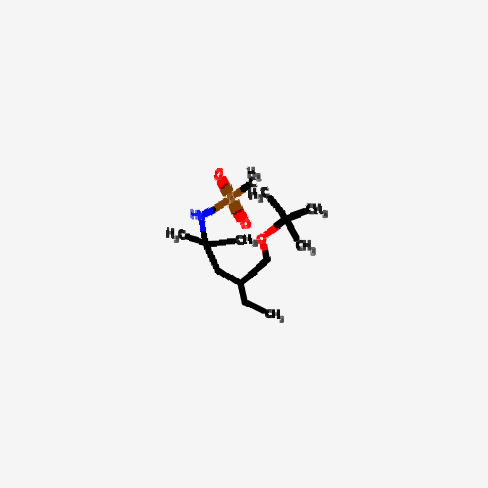 CCC(COC(C)(C)C)CC(C)(C)NS(C)(=O)=O